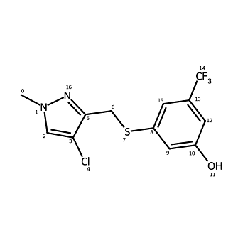 Cn1cc(Cl)c(CSc2cc(O)cc(C(F)(F)F)c2)n1